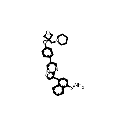 NSc1ccc(-c2cnn3cc(-c4ccc(OC5(CN6CCCCC6)COC5)cc4)cnc23)c2ccccc12